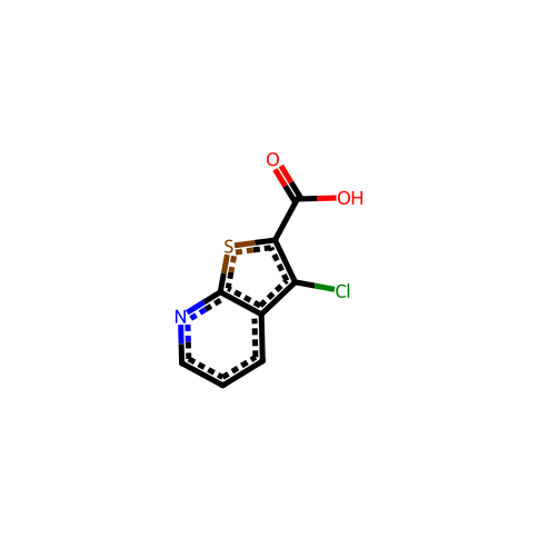 O=C(O)c1sc2ncccc2c1Cl